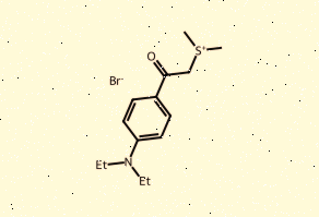 CCN(CC)c1ccc(C(=O)C[S+](C)C)cc1.[Br-]